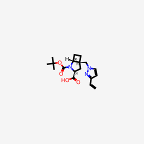 C=Cc1ccn(C[C@]23CC[C@H]2N(C(=O)OC(C)(C)C)[C@H](C(=O)O)C3)n1